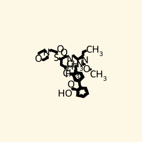 CCOc1nc(CC)c(CNC(=O)C(CC(C)C)SC(=O)CN2CCOCC2)n1Cc1ccc(-c2ccccc2C(=O)O)cc1F